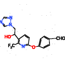 O=Cc1ccc(Oc2ccc(C(O)Cn3cncn3)c(C(F)(F)F)n2)cc1